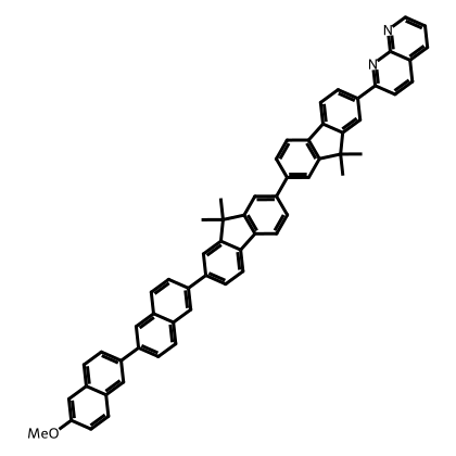 COc1ccc2cc(-c3ccc4cc(-c5ccc6c(c5)C(C)(C)c5cc(-c7ccc8c(c7)C(C)(C)c7cc(-c9ccc%10cccnc%10n9)ccc7-8)ccc5-6)ccc4c3)ccc2c1